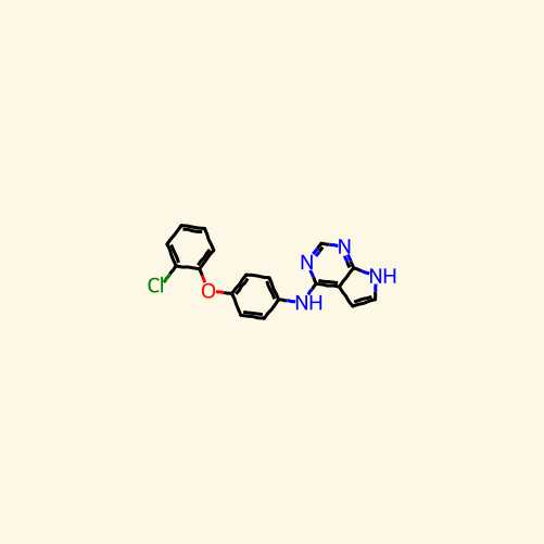 Clc1ccccc1Oc1ccc(Nc2ncnc3[nH]ccc23)cc1